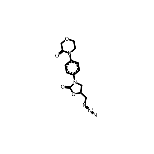 [N-]=[N+]=NCC1CN(c2ccc(N3CCOCC3=O)cc2)C(=O)O1